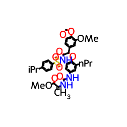 CCCc1cc(NC(=O)N[C@H](C)C(=O)OC)ccc1OC(C(=O)NS(=O)(=O)c1ccc(C(C)C)cc1)c1cc(OC)c2c(c1)OCO2